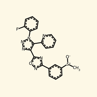 C[S+]([O-])c1cccc(-c2noc(-c3nnn(-c4ccccc4F)c3-c3ccccn3)n2)c1